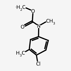 [CH2]OC(=O)N(C)c1ccc(Cl)c(C)c1